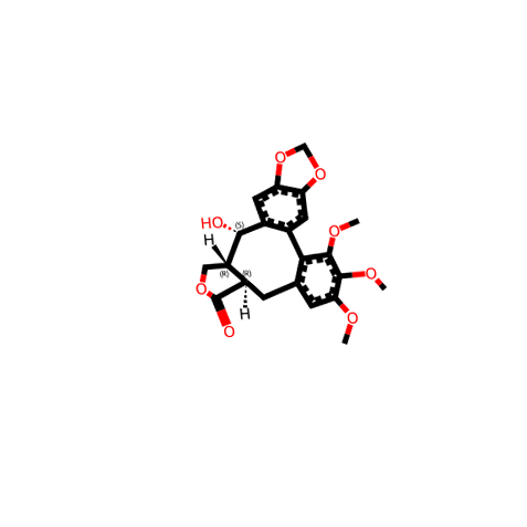 COc1cc2c(c(OC)c1OC)-c1cc3c(cc1[C@@H](O)[C@H]1COC(=O)[C@@H]1C2)OCO3